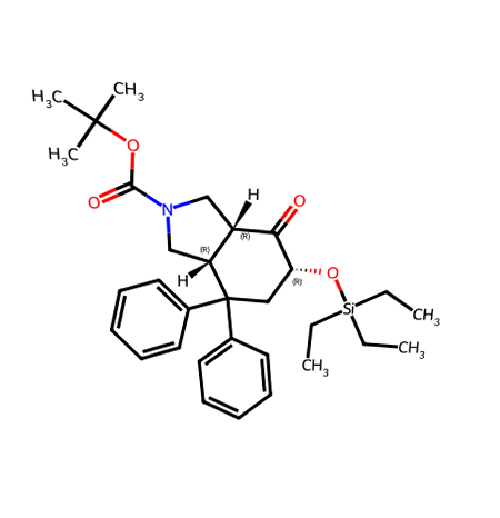 CC[Si](CC)(CC)O[C@@H]1CC(c2ccccc2)(c2ccccc2)[C@@H]2CN(C(=O)OC(C)(C)C)C[C@@H]2C1=O